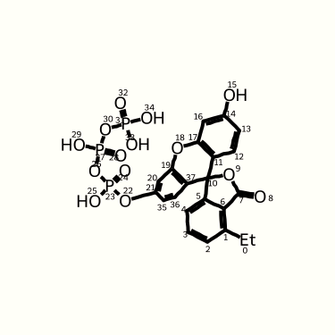 CCc1cccc2c1C(=O)OC21c2ccc(O)cc2Oc2cc(OP(=O)(O)OP(=O)(O)OP(=O)(O)O)ccc21